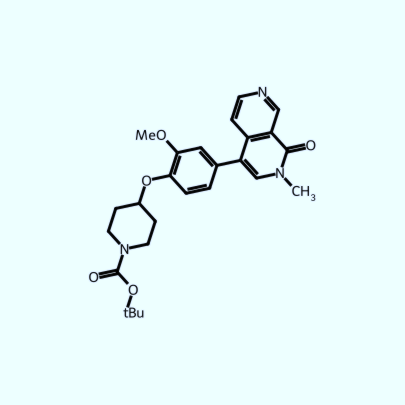 COc1cc(-c2cn(C)c(=O)c3cnccc23)ccc1OC1CCN(C(=O)OC(C)(C)C)CC1